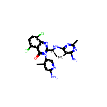 Cc1nc(N)c(C#N)c(N[C@@H](C)c2nc3c(Cl)ccc(Cl)c3c(=O)n2-c2cnc(N)cc2C)n1